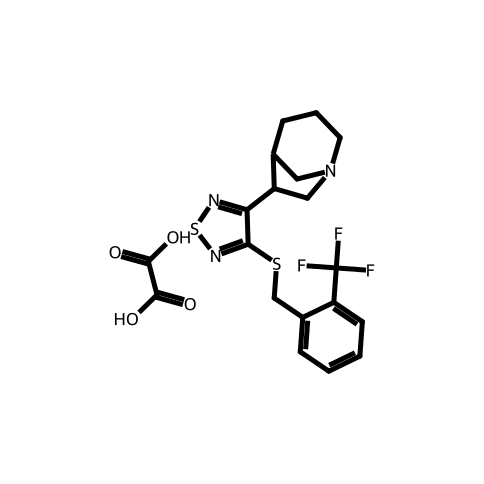 FC(F)(F)c1ccccc1CSc1nsnc1C1CN2CCCC1C2.O=C(O)C(=O)O